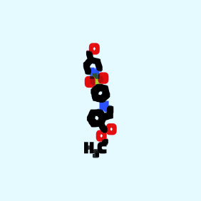 CCOC(=O)c1cccc2c1ccn2-c1ccc(S(=O)(=O)N2CCC(C=O)CC2)cc1